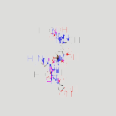 Cc1cc(SCC2=C(C(=O)O)N3C(=O)[C@@H](NC(=O)C(=NOC(C)(C)C(=O)NNC(=O)c4ccc(O)c(O)c4)c4csc(N)n4)[C@H]3SC2)n2nc(C(=O)N(C)O)nc2n1